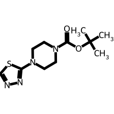 CC(C)(C)OC(=O)N1CCN(c2nncs2)CC1